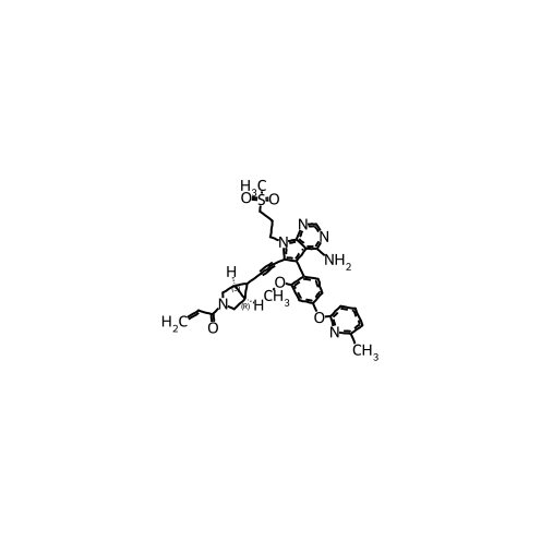 C=CC(=O)N1C[C@@H]2C(C#Cc3c(-c4ccc(Oc5cccc(C)n5)cc4OC)c4c(N)ncnc4n3CCCS(C)(=O)=O)[C@@H]2C1